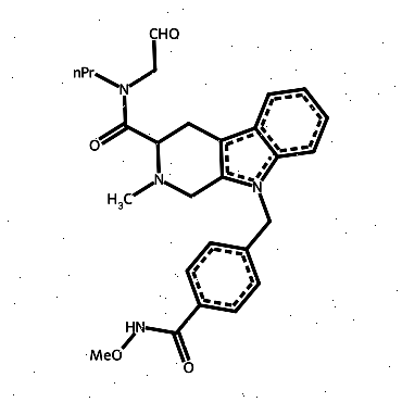 CCCN(CC=O)C(=O)C1Cc2c(n(Cc3ccc(C(=O)NOC)cc3)c3ccccc23)CN1C